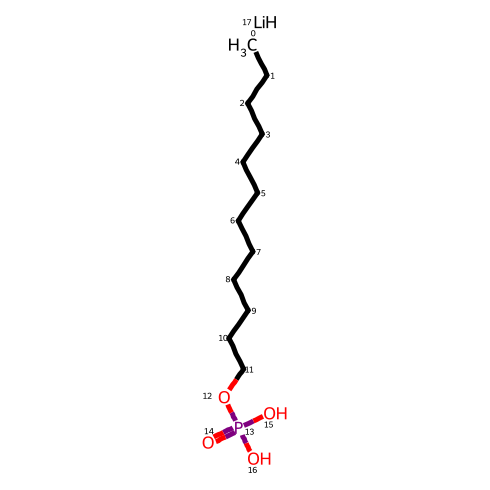 CCCCCCCCCCCCOP(=O)(O)O.[LiH]